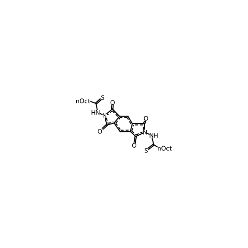 CCCCCCCCC(=S)Nn1c(=O)c2cc3c(=O)n(NC(=S)CCCCCCCC)c(=O)c3cc2c1=O